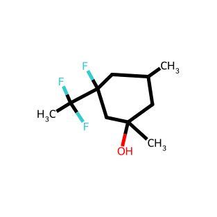 CC1CC(C)(O)CC(F)(C(C)(F)F)C1